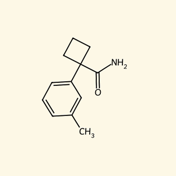 Cc1cccc(C2(C(N)=O)CCC2)c1